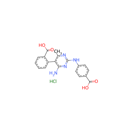 Cc1nc(Nc2ccc(C(=O)O)cc2)nc(N)c1-c1ccccc1C(=O)O.Cl